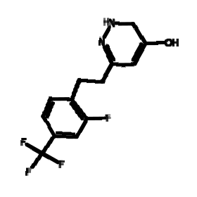 OC1=CC(CCc2ccc(C(F)(F)F)cc2F)=NNC1